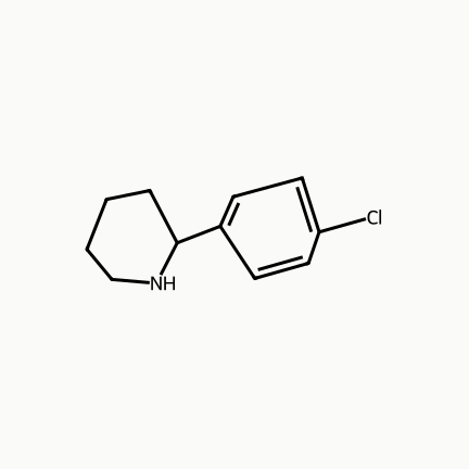 Clc1ccc(C2CCCCN2)cc1